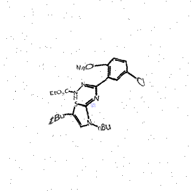 CCCCn1cc(C(C)(C)C)s/c1=N\C(=NNC(=O)OCC)c1cc(Cl)ccc1OC